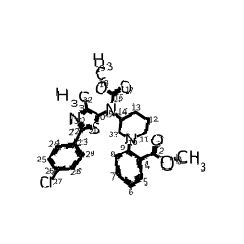 COC(=O)c1ccccc1N1CCCC(N(C(=O)OC)c2sc(-c3ccc(Cl)cc3)nc2C)C1